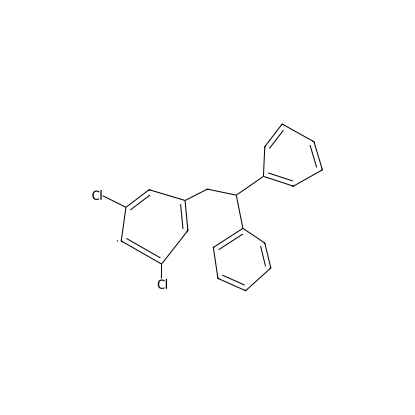 Clc1[c]c(Cl)cc(CC(c2ccccc2)c2ccccc2)c1